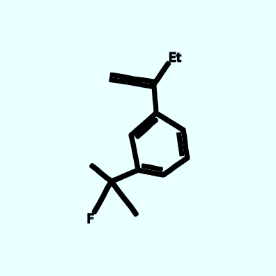 C=C(CC)c1cccc(C(C)(C)F)c1